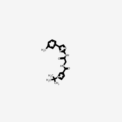 Cc1cccc(-c2csc(NC(=O)CNC(=O)c3ccn(C(C)(C)C)c3)n2)c1